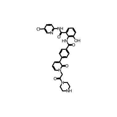 O=C(Nc1c(O)cccc1C(=O)Nc1ccc(Cl)cn1)c1ccc(-c2cccn(CC(=O)N3CCNCC3)c2=O)cc1